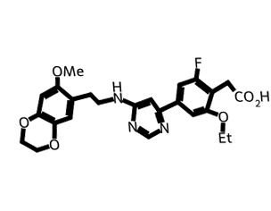 CCOc1cc(-c2cc(NCCc3cc4c(cc3OC)OCCO4)ncn2)cc(F)c1CC(=O)O